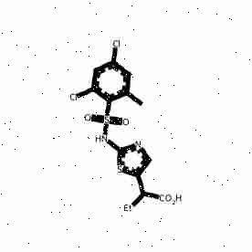 CCC(C(=O)O)c1cnc(NS(=O)(=O)c2c(C)cc(Cl)cc2Cl)s1